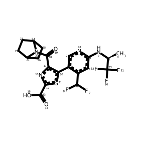 C[C@H](Nc1cc(C(F)F)c(-c2sc(C(=O)O)nc2C(=O)N2C3CCC2CC3)cn1)C(F)(F)F